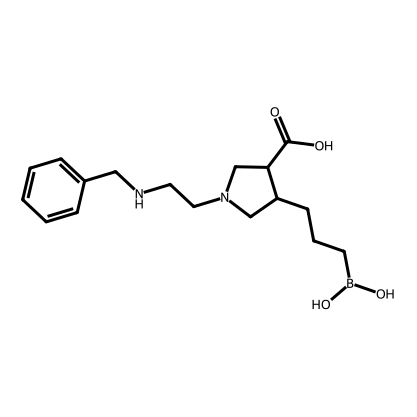 O=C(O)C1CN(CCNCc2ccccc2)CC1CCCB(O)O